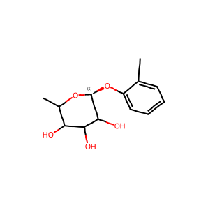 Cc1ccccc1O[C@@H]1OC(C)C(O)C(O)C1O